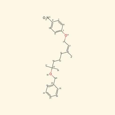 CC(=CCOc1ccc([N+](=O)[O-])cc1)CCCC(C)(C)OCc1ccccc1